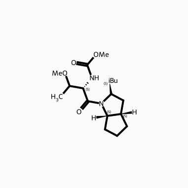 CC[C@H](C)C1C[C@@H]2CCC[C@@H]2N1C(=O)[C@@H](NC(=O)OC)C(C)OC